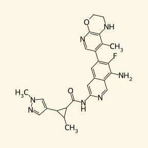 Cc1c(-c2cc3cc(NC(=O)C4C(C)C4c4cnn(C)c4)ncc3c(N)c2F)cnc2c1NCCO2